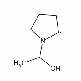 CC(O)N1[CH]CCC1